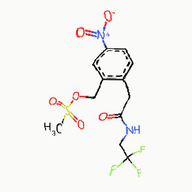 CS(=O)(=O)OCc1cc([N+](=O)[O-])ccc1CC(=O)NCC(F)(F)F